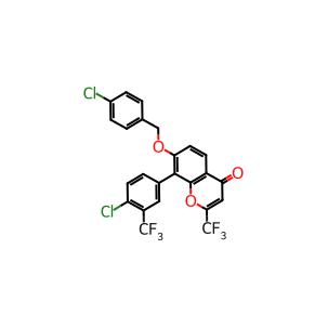 O=c1cc(C(F)(F)F)oc2c(-c3ccc(Cl)c(C(F)(F)F)c3)c(OCc3ccc(Cl)cc3)ccc12